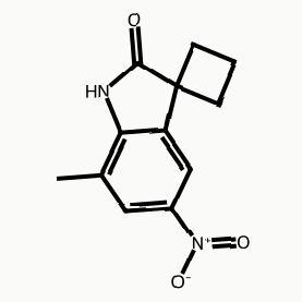 Cc1cc([N+](=O)[O-])cc2c1NC(=O)C21CCC1